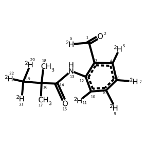 [2H]C(=O)c1c([2H])c([2H])c([2H])c([2H])c1NC(=O)C(C)(C)C([2H])([2H])[2H]